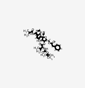 CC(C)C(=O)Nc1ncnn2c([C@]3(C#N)O[C@H](COC(=O)CC4CCCCC4)[C@@H](OC(=O)[C@@H](NC(=O)OC(C)(C)C)C(C)C)[C@H]3O)ccc12